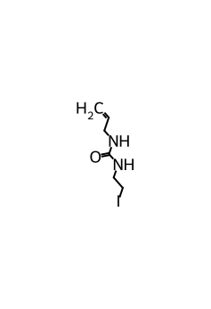 C=CCNC(=O)NCCI